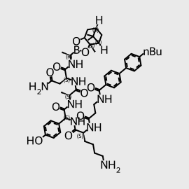 CCCCc1ccc(-c2ccc(C(=O)NCCC(=O)N[C@@H](CCCCN)C(=O)N[C@H](C(=O)N[C@@H](C)C(=O)N[C@@H](CC(N)=O)C(=O)N[C@@H](C)B3OC4C[C@@H]5C[C@@H](C5(C)C)[C@]4(C)O3)c3ccc(O)cc3)cc2)cc1